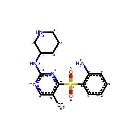 Nc1ccccc1S(=O)(=O)c1nc(NC2CCCNC2)ncc1C(F)(F)F